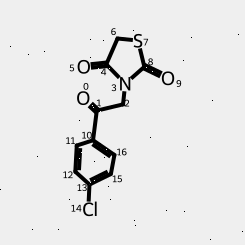 O=C(CN1C(=O)CSC1=O)c1ccc(Cl)cc1